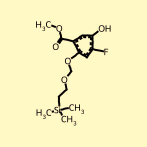 COC(=O)c1cc(O)c(F)cc1OCOCC[Si](C)(C)C